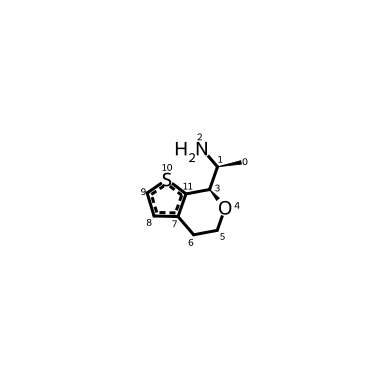 C[C@H](N)[C@H]1OCCc2ccsc21